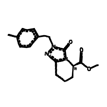 COC(=O)[C@H]1CCCc2nn(Cc3ccc(C)cc3)c(=O)n21